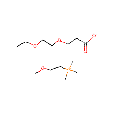 CCOCCOCCC(=O)[O-].COCC[P+](C)(C)C